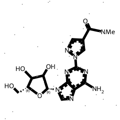 CNC(=O)c1cnn(-c2nc(N)c3ncn([C@@H]4O[C@H](CO)C(O)C4O)c3n2)c1